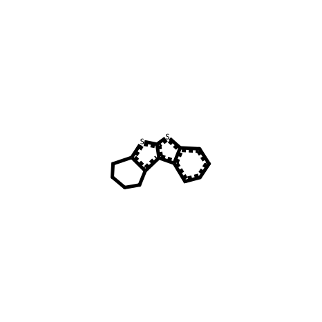 c1ccc2c(c1)sc1sc3c(c12)CCCC3